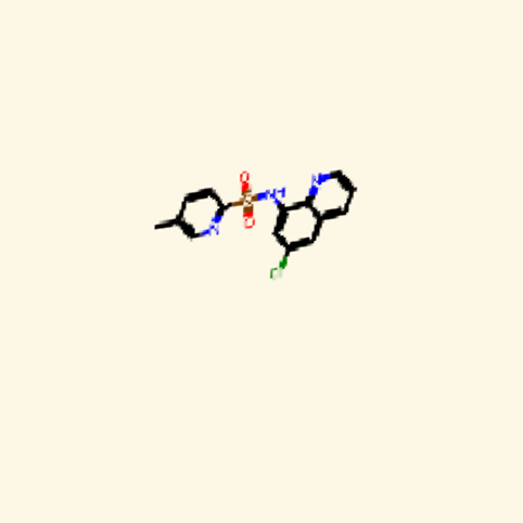 Cc1ccc(S(=O)(=O)Nc2cc(Cl)cc3cccnc23)nc1